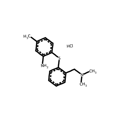 Cc1ccc(Sc2ccccc2CN(C)C)c(N)c1.Cl